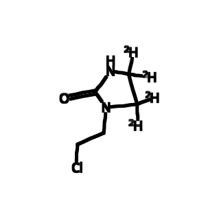 [2H]C1([2H])NC(=O)N(CCCl)C1([2H])[2H]